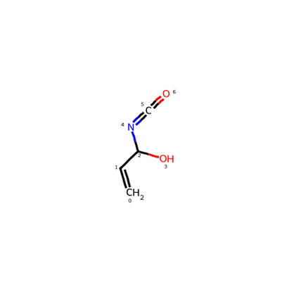 C=CC(O)N=C=O